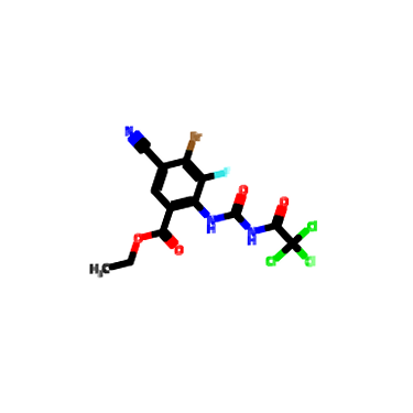 CCOC(=O)c1cc(C#N)c(Br)c(F)c1NC(=O)NC(=O)C(Cl)(Cl)Cl